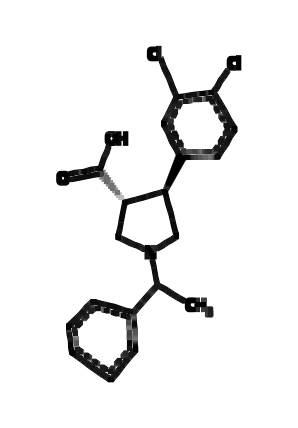 CC(c1ccccc1)N1C[C@H](C(=O)O)[C@@H](c2ccc(Cl)c(Cl)c2)C1